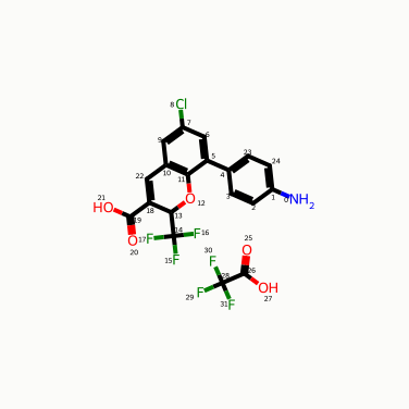 Nc1ccc(-c2cc(Cl)cc3c2OC(C(F)(F)F)C(C(=O)O)=C3)cc1.O=C(O)C(F)(F)F